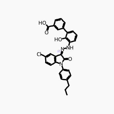 CCCc1ccc(N2C(=O)/C(=N\Nc3cccc(-c4cccc(C(=O)O)c4)c3O)c3cc(Cl)ccc32)cc1